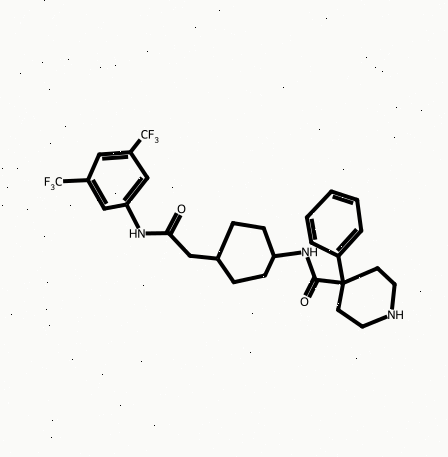 O=C(CC1CCC(NC(=O)C2(c3ccccc3)CCNCC2)CC1)Nc1cc(C(F)(F)F)cc(C(F)(F)F)c1